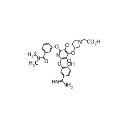 CN(C)C(=O)c1cccc(Oc2nc(Oc3cc(C(=N)N)ccc3O)c(Cl)c(OC3CCN(CC(=O)O)C3)c2Cl)c1